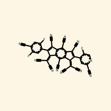 N#CC(C#N)=C1C(c2cc(C#N)ncc2F)=C(C#N)c2c(C#N)c3c(c(C#N)c21)C(=C(C#N)C#N)C(c1cc(F)c(C#N)cc1F)=C3C#N